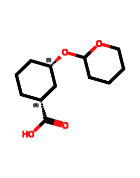 O=C(O)[C@@H]1CCC[C@H](OC2CCCCO2)C1